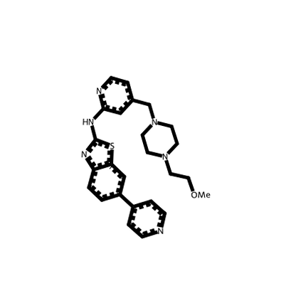 COCCN1CCN(Cc2ccnc(Nc3nc4ccc(-c5ccncc5)cc4s3)c2)CC1